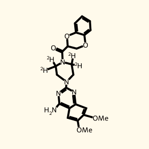 [2H]C1([2H])CN(c2nc(N)c3cc(OC)c(OC)cc3n2)CC([2H])([2H])N1C(=O)C1COc2ccccc2O1